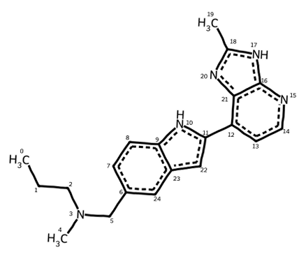 CCCN(C)Cc1ccc2[nH]c(-c3ccnc4[nH]c(C)nc34)cc2c1